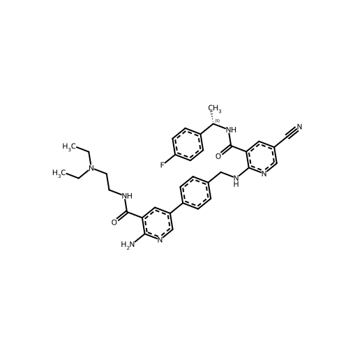 CCN(CC)CCNC(=O)c1cc(-c2ccc(CNc3ncc(C#N)cc3C(=O)N[C@@H](C)c3ccc(F)cc3)cc2)cnc1N